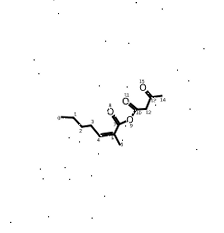 CCCCC=C(C)C(=O)OC(=O)CC(C)=O